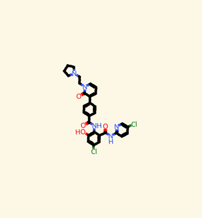 O=C(Nc1c(O)cc(Cl)cc1C(=O)Nc1ccc(Cl)cn1)c1ccc(-c2cccn(CCN3CCCC3)c2=O)cc1